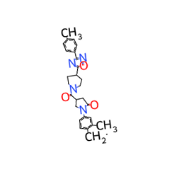 [CH2]c1ccc(N2CC(C(=O)N3CCC(c4nc(-c5ccc(C)cc5)no4)CC3)CC2=O)cc1C